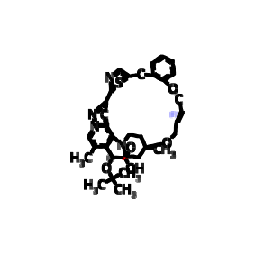 Cc1cn2nc3cc2c(c1[C@H](OC(C)(C)C)C(=O)O)N1CCC(C)(CC1)OC/C=C/COc1ccccc1Cc1cnc-3s1